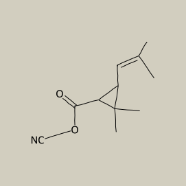 CC(C)=CC1C(C(=O)OC#N)C1(C)C